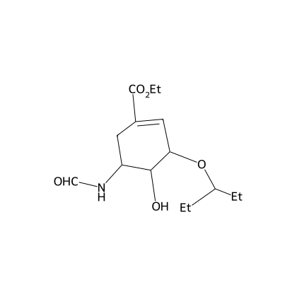 CCOC(=O)C1=CC(OC(CC)CC)C(O)C(NC=O)C1